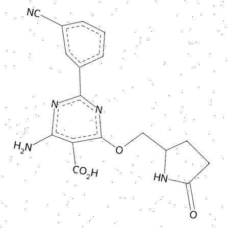 N#Cc1cccc(-c2nc(N)c(C(=O)O)c(OCC3CCC(=O)N3)n2)c1